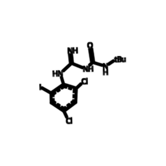 CC(C)(C)NC(=O)NC(=N)Nc1c(Cl)cc(Cl)cc1I